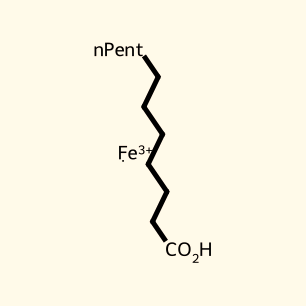 CCCCCCCCCCCC(=O)O.[Fe+3]